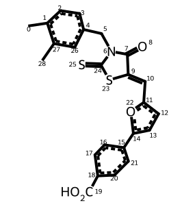 Cc1ccc(CN2C(=O)/C(=C/c3ccc(-c4ccc(C(=O)O)cc4)o3)SC2=S)cc1C